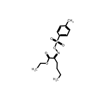 CCCCC(=NOS(=O)(=O)c1ccc(C)cc1)C(=O)OCC